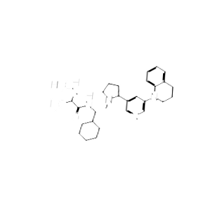 CNC(C)C(=O)N[C@H](CN1CCCC1c1cncc(N2CCCc3ccccc32)c1)C1CCCCC1